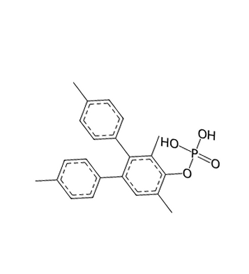 Cc1ccc(-c2cc(C)c(OP(=O)(O)O)c(C)c2-c2ccc(C)cc2)cc1